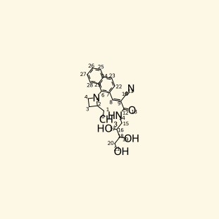 CCC1CCN1c1c(/C=C(\C#N)C(=O)NCC(O)C(O)CO)ccc2ccccc12